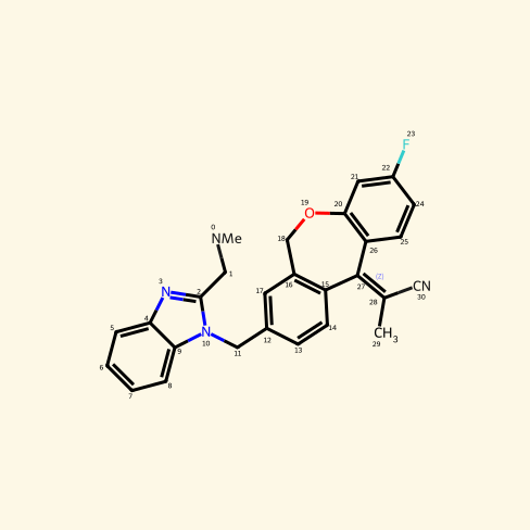 CNCc1nc2ccccc2n1Cc1ccc2c(c1)COc1cc(F)ccc1/C2=C(/C)C#N